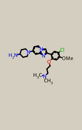 COc1cc(OCCCN(C)C)c(-c2cn3ccc(N4CCC(N)CC4)cc3n2)cc1Cl